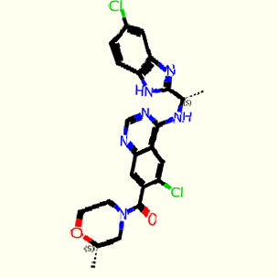 C[C@H](Nc1ncnc2cc(C(=O)N3CCO[C@@H](C)C3)c(Cl)cc12)c1nc2cc(Cl)ccc2[nH]1